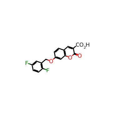 O=C(O)c1cc2ccc(OCc3cc(F)ccc3F)cc2oc1=O